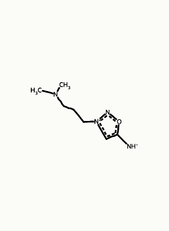 CN(C)CCC[n+]1cc([NH-])on1